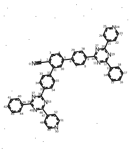 N#Cc1ccc(-c2ccc(-c3nc(-c4ccccc4)nc(-c4ccncc4)n3)cc2)cc1-c1ccc(-c2nc(-c3ccccc3)nc(-c3ccncc3)n2)cc1